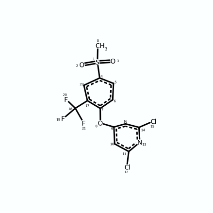 CS(=O)(=O)c1ccc(Oc2cc(Cl)nc(Cl)c2)c(C(F)(F)F)c1